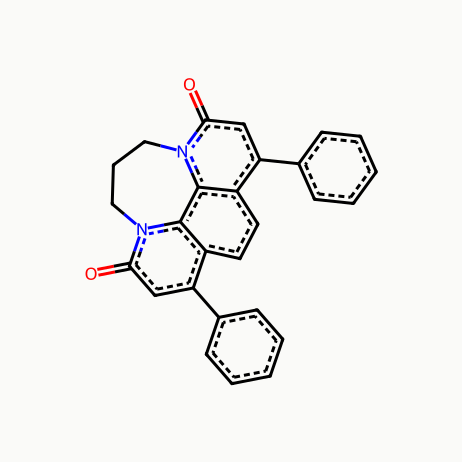 O=c1cc(-c2ccccc2)c2ccc3c(-c4ccccc4)cc(=O)n4c3c2n1CCC4